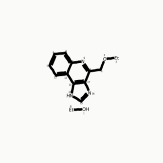 CCO.CCOCc1nc2ccccc2c2[nH]cnc12